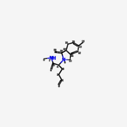 C=CCCC(C(=C)NC)N1CC2=CC(C)=CCC2C1=C